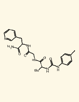 Cc1ccc(NC(=O)NC(C(=O)NCC(=O)NC(Cc2cccnc2)C(N)=O)C(C)(C)C)cc1